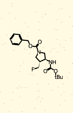 CC(C)(C)OC(=O)N[C@@H]1CN(C(=O)OCc2ccccc2)C[C@H]1CF